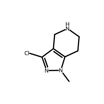 Cn1nc(Cl)c2c1CCNC2